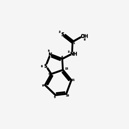 OC(=S)Nc1nsc2ccccc12